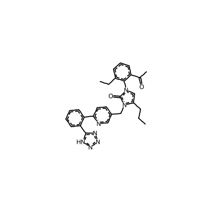 CCCc1cn(-c2c(CC)cccc2C(C)=O)c(=O)n1Cc1ccc(-c2ccccc2-c2nnn[nH]2)nc1